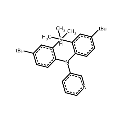 CC(C)(C)c1ccc2c(c1)[SH](C)(C)(C)c1cc(C(C)(C)C)ccc1N2c1cccnc1